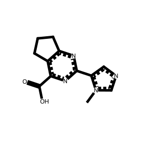 Cn1cncc1-c1nc2c(c(C(=O)O)n1)CCC2